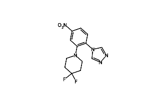 O=[N+]([O-])c1ccc(-n2cnnc2)c(N2CCC(F)(F)CC2)c1